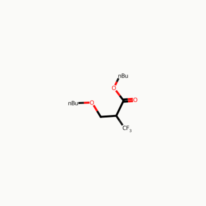 CCCCOCC(C(=O)OCCCC)C(F)(F)F